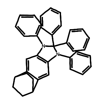 c1ccc(N2c3cc4c(cc3N(c3ccccc3)C2(c2ccccc2)c2ccccc2)C2CCC4CC2)cc1